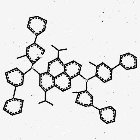 Cc1cc(-c2ccccc2)ccc1N(c1cccc(-c2ccccc2)c1)c1cc(C(C)C)c2ccc3c(N(c4ccc(-c5ccccc5)cc4C)c4cc(-c5ccccc5)ccc4C)ccc4c(C(C)C)cc1c2c43